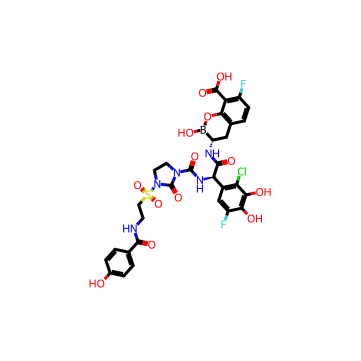 O=C(NCCS(=O)(=O)N1CCN(C(=O)N[C@@H](C(=O)N[C@H]2Cc3ccc(F)c(C(=O)O)c3OB2O)c2cc(F)c(O)c(O)c2Cl)C1=O)c1ccc(O)cc1